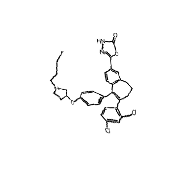 O=c1[nH]nc(-c2ccc3c(c2)CCCC(c2ccc(Cl)cc2Cl)=C3c2ccc(OC3CCN(CCCF)C3)cc2)o1